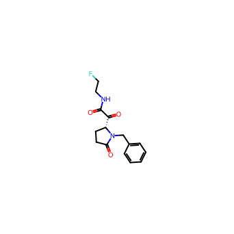 O=C(NCCF)C(=O)[C@H]1CCC(=O)N1Cc1ccccc1